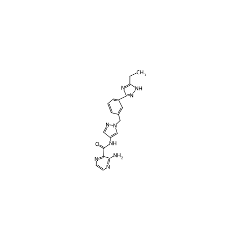 CCc1nc(-c2cccc(Cn3cc(NC(=O)c4nccnc4N)cn3)c2)n[nH]1